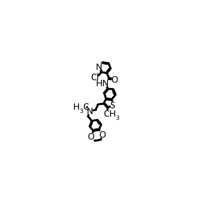 Cc1sc2ccc(NC(=O)c3cccnc3Cl)cc2c1CCN(C)Cc1ccc2c(c1)OCCO2